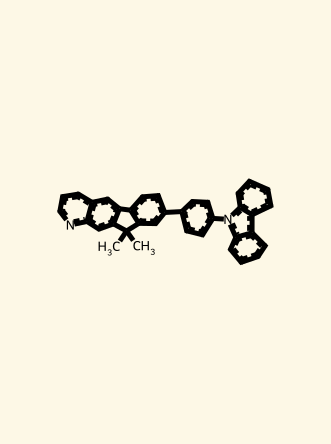 CC1(C)c2cc(-c3ccc(-n4c5ccccc5c5ccccc54)cc3)ccc2-c2cc3cccnc3cc21